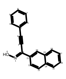 ON=C(C#Cc1ccccc1)c1ccc2ccccc2c1